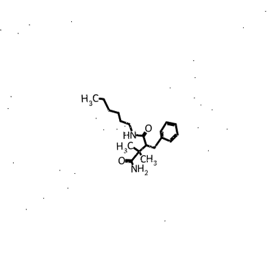 CCCCCCNC(=O)C(Cc1ccccc1)C(C)(C)C(N)=O